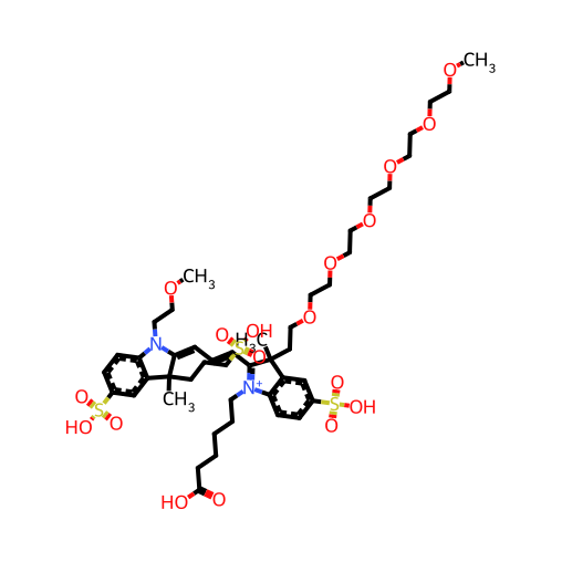 COCCOCCOCCOCCOCCOCCC1(C)C(/C=C/C=C2/N(CCOC)c3ccc(S(=O)(=O)O)cc3C2(C)CCCS(=O)(=O)O)=[N+](CCCCCC(=O)O)c2ccc(S(=O)(=O)O)cc21